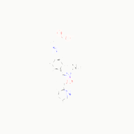 O=C([O-])C1CN(Cc2ccc(C3=NOC(c4ccccn4)C3)cc2)C1.[Na+]